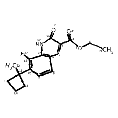 CCOC(=O)c1cc2ccc(C3(C)CCC3)c(F)c2[nH]c1=O